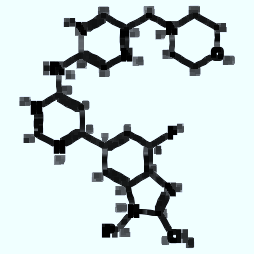 Cc1nc2c(F)cc(-c3cc(Nc4cnc(CN5CCOCC5)cn4)ncn3)cc2n1C(C)C